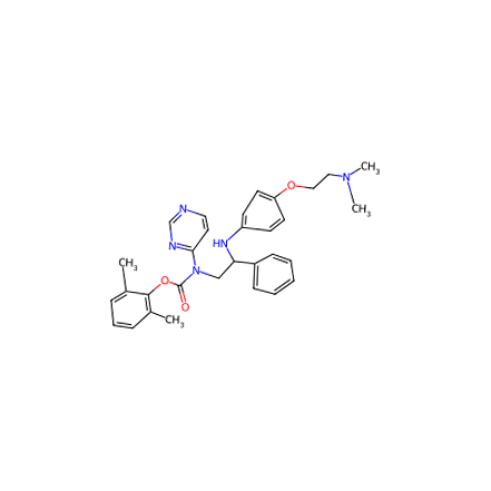 Cc1cccc(C)c1OC(=O)N(CC(Nc1ccc(OCCN(C)C)cc1)c1ccccc1)c1ccncn1